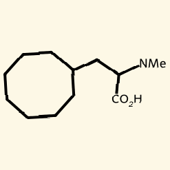 CNC(CC1CCCCCCC1)C(=O)O